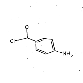 Nc1ccc(C(Cl)Cl)cc1